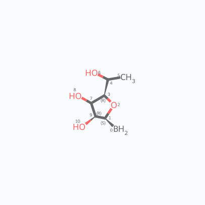 B[C@@H]1O[C@H](C(C)O)C(O)[C@@H]1O